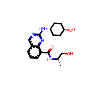 C[C@@H](CO)NC(=O)c1cccc2cnc(N[C@H]3CC[C@H](O)CC3)nc12